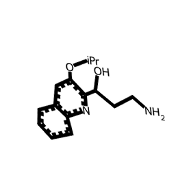 CC(C)Oc1cc2ccccc2nc1C(O)CCN